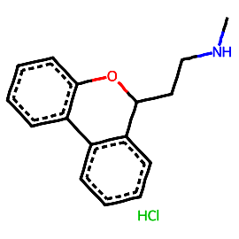 CNCCC1Oc2ccccc2-c2ccccc21.Cl